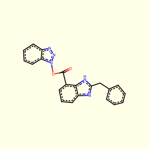 O=C(On1nnc2ccccc21)c1cccc2nc(Cc3ccccc3)[nH]c12